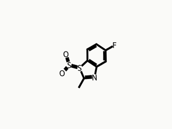 CC1=Nc2cc(F)ccc2S1=S(=O)=O